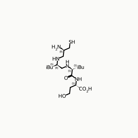 CC[C@H](C)[C@H](CN[C@H](C(=O)N[C@@H](CCO)C(=O)O)[C@@H](C)CC)NC[C@@H](N)CS